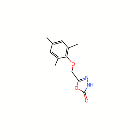 Cc1cc(C)c(OCc2n[nH]c(=O)o2)c(C)c1